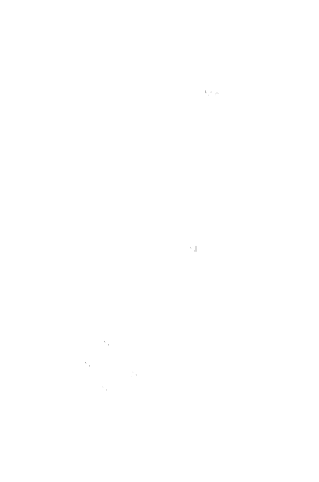 COc1ccc(CONCCCSc2nnnn2C)cc1